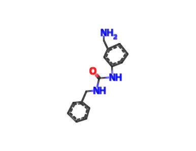 NCc1cccc(NC(=O)NCc2ccccc2)c1